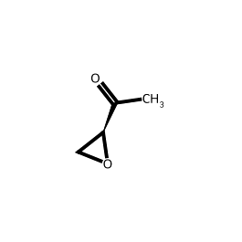 CC(=O)[C@@H]1CO1